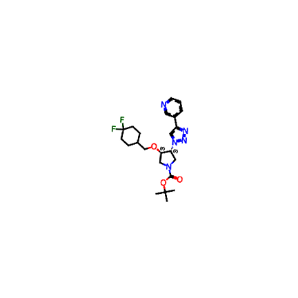 CC(C)(C)OC(=O)N1C[C@@H](n2cc(-c3cccnc3)nn2)[C@H](OCC2CCC(F)(F)CC2)C1